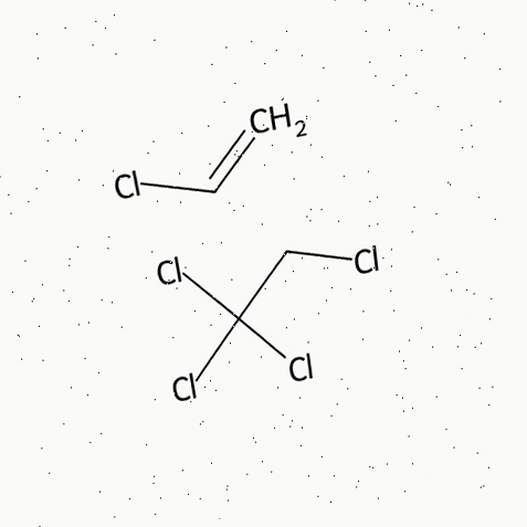 C=CCl.ClCC(Cl)(Cl)Cl